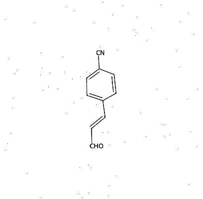 N#Cc1ccc(C=CC=O)cc1